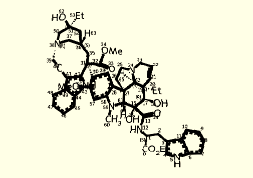 CCOC(=O)[C@H](Cc1c[nH]c2ccccc12)NC(=O)[C@@]1(O)[C@H](O)[C@]2(CC)C=CCN3CC[C@@]4(c5cc([C@@]6(C(=O)OC)C[C@@H]7C[N@](CCc8c6[nH]c6ccccc86)C[C@](O)(CC)C7)c(OC)cc5N(C)[C@@H]14)[C@@H]32